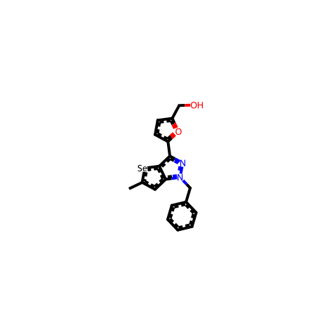 Cc1cc2c([se]1)c(-c1ccc(CO)o1)nn2Cc1ccccc1